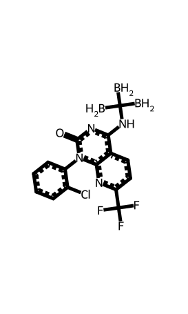 BC(B)(B)Nc1nc(=O)n(-c2ccccc2Cl)c2nc(C(F)(F)F)ccc12